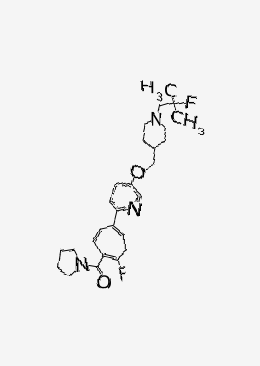 CC(C)(F)CN1CCC(COc2ccc(C3=CCC(F)=C(C(=O)N4CCCC4)C=C3)nc2)CC1